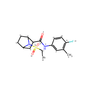 Cc1cc(NC(=O)C2CC3CCC2N3S(=O)(=O)CC(C)C)ccc1F